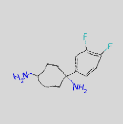 NC1CCC(N)(c2ccc(F)c(F)c2)CC1